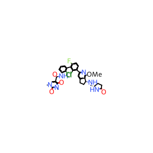 COc1nc(-c2ccc(F)c(-c3cccc(NC(=O)c4cn(C)c(=O)n(C)c4=O)c3Cl)c2Cl)cc2c1[C@@H](NC[C@@H]1CCC(=O)N1)CC2